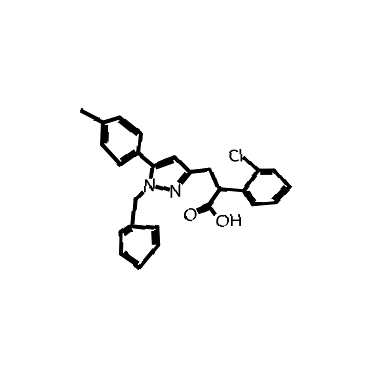 Cc1ccc(-c2cc(CC(C(=O)O)c3ccccc3Cl)nn2Cc2ccccc2)cc1